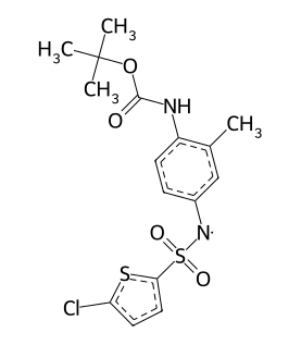 Cc1cc([N]S(=O)(=O)c2ccc(Cl)s2)ccc1NC(=O)OC(C)(C)C